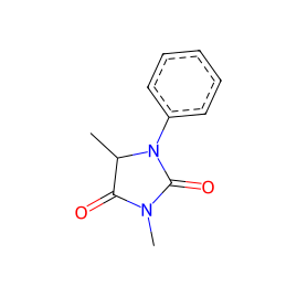 CC1C(=O)N(C)C(=O)N1c1ccccc1